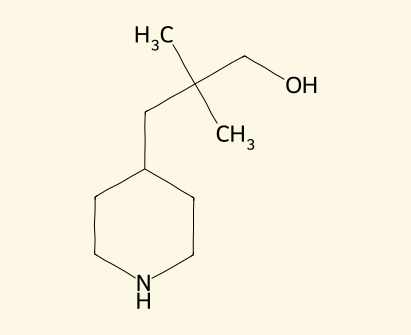 CC(C)(CO)CC1CCNCC1